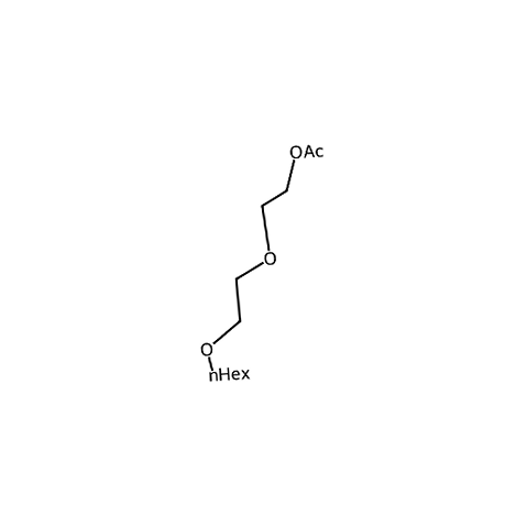 CCCCCCOCCOCCOC(C)=O